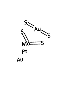 [Au].[Pt].[S]=[Au]=[S].[S]=[Mo]=[S]